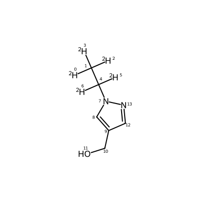 [2H]C([2H])([2H])C([2H])([2H])n1cc(CO)cn1